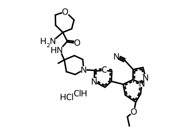 CCOc1cc(-c2ccc(N3CCC(C)(NC(=O)C4(N)CCOCC4)CC3)nc2)c2c(C#N)cnn2c1.Cl.Cl